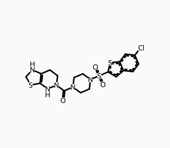 O=C(N1CCN(S(=O)(=O)c2cc3ccc(Cl)cc3s2)CC1)N1CCC2=C(N1)SCN2